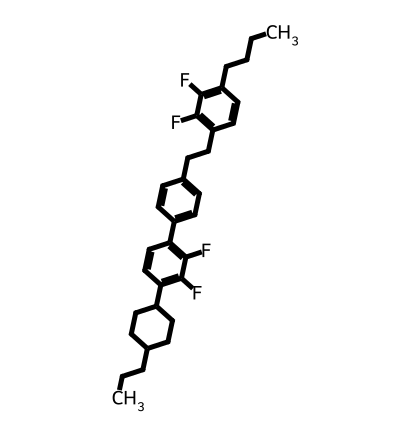 CCCCc1ccc(CCc2ccc(-c3ccc(C4CCC(CCC)CC4)c(F)c3F)cc2)c(F)c1F